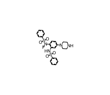 O=S(=O)(Nc1cc(N2CCNCC2)ccc1N(F)S(=O)(=O)c1ccccc1)c1ccccc1